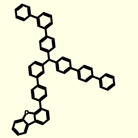 c1ccc(-c2ccc(-c3ccc(C(c4ccc(-c5cccc(-c6ccccc6)c5)cc4)c4cccc(-c5ccc(-c6cccc7c6oc6ccccc67)cc5)c4)cc3)cc2)cc1